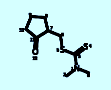 CN(C)C(=S)SCC1CCCC1=O